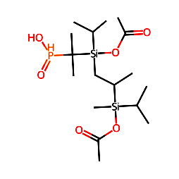 CC(=O)O[Si](C)(C(C)C)C(C)C[Si](OC(C)=O)(C(C)C)C(C)(C)[PH](=O)O